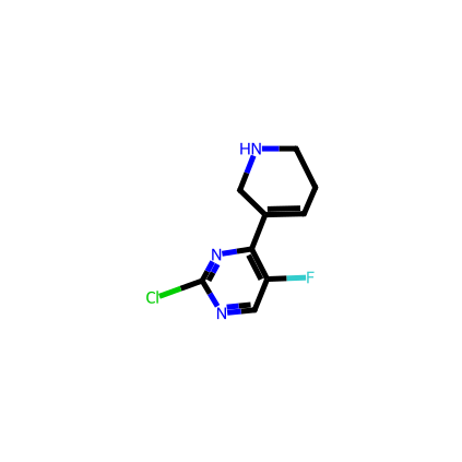 Fc1cnc(Cl)nc1C1=CCCNC1